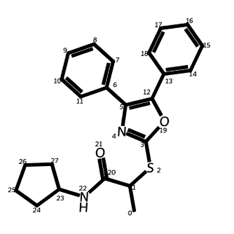 CC(Sc1nc(-c2ccccc2)c(-c2ccccc2)o1)C(=O)NC1CCCC1